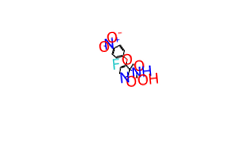 O=CC1(NC(=O)O)CN=CC=C1Oc1ccc([N+](=O)[O-])cc1F